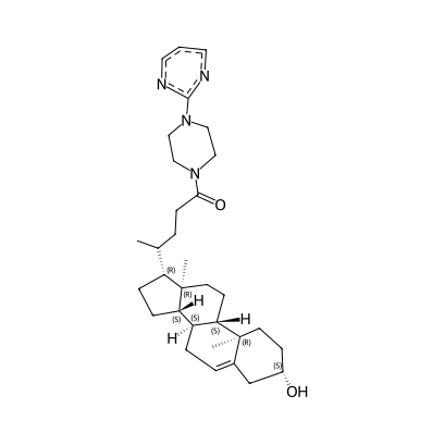 CC(CCC(=O)N1CCN(c2ncccn2)CC1)[C@H]1CC[C@H]2[C@@H]3CC=C4C[C@@H](O)CC[C@]4(C)[C@H]3CC[C@]12C